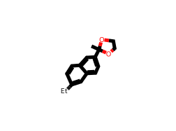 CCc1ccc2cc(C3(C)OCCO3)ccc2c1